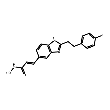 O=C(/C=C/c1ccc2[nH]c(CCc3ccc(F)cc3)nc2c1)NO